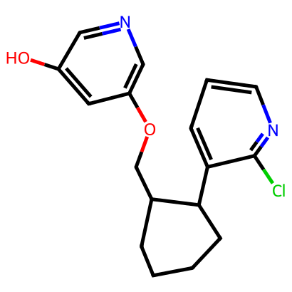 Oc1cncc(OCC2CCCCC2c2cccnc2Cl)c1